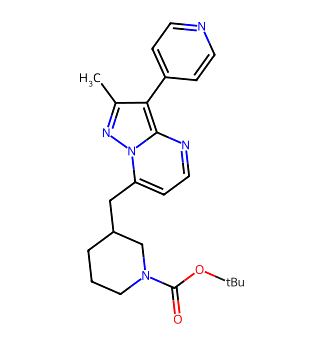 Cc1nn2c(CC3CCCN(C(=O)OC(C)(C)C)C3)ccnc2c1-c1ccncc1